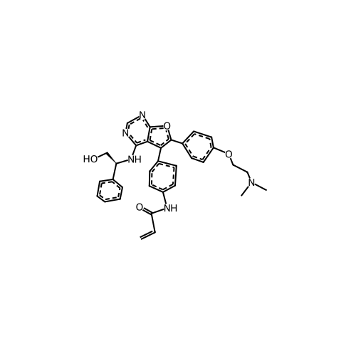 C=CC(=O)Nc1ccc(-c2c(-c3ccc(OCCN(C)C)cc3)oc3ncnc(N[C@H](CO)c4ccccc4)c23)cc1